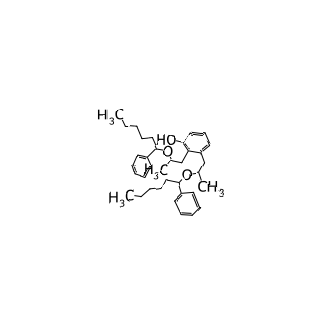 CCCCCC(OC(C)Cc1cccc(O)c1CC(C)OC(CCCCC)c1ccccc1)c1ccccc1